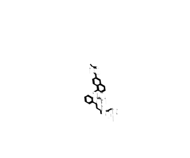 CNCC(=O)NC(C)CCc1ccccc1N(C=O)Cc1c(OC)ccc2cc(-c3nc(C)cs3)ccc12